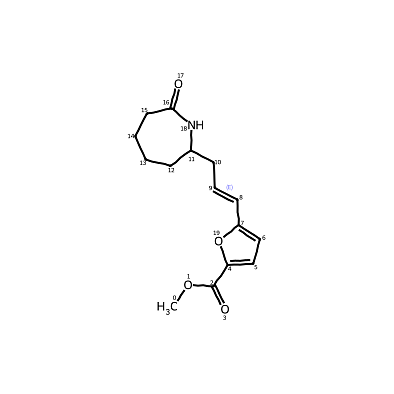 COC(=O)c1ccc(/C=C/CC2CCCCC(=O)N2)o1